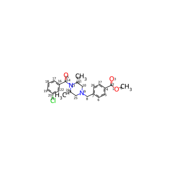 COC(=O)c1ccc(CN2C[C@@H](C)N(C(=O)c3cccc(Cl)c3)[C@@H](C)C2)cc1